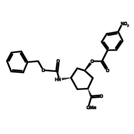 COC(=O)[C@@H]1C[C@H](NC(=O)OCc2ccccc2)C[C@@H](OC(=O)c2ccc([N+](=O)[O-])cc2)C1